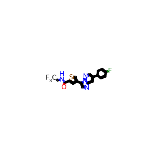 O=C(NCC(F)(F)F)c1cc(-c2cnc3cc(C4C=CC(F)=CC4)cnn23)cs1